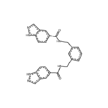 O=C(NCc1cccc(CNC(=O)c2ccc3[nH]ncc3c2)c1)c1ccc2[nH]ncc2c1